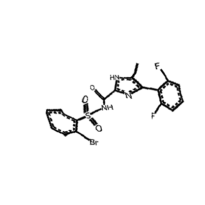 Cc1[nH]c(C(=O)NS(=O)(=O)c2ccccc2Br)nc1-c1c(F)cccc1F